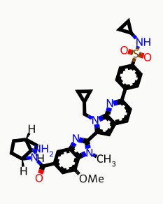 COc1cc(C(=O)N2C[C@H]3CC[C@@H]2[C@@H]3N)cc2nc(-c3cc4ccc(-c5ccc(S(=O)(=O)NC6CC6)cc5)nc4n3CC3CC3)n(C)c12